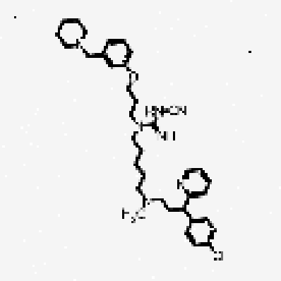 CN(CCCCCN(CCCOc1cccc(CN2CCCCC2)c1)C(=N)NC#N)CCC(c1ccc(Cl)cc1)c1ccccn1